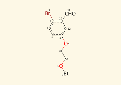 CCOCCOc1ccc(Br)c(C=O)c1